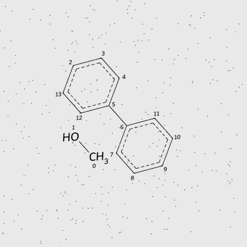 CO.c1ccc(-c2ccccc2)cc1